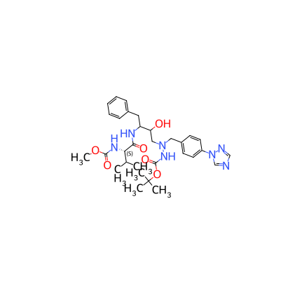 COC(=O)N[C@H](C(=O)NC(Cc1ccccc1)C(O)CN(Cc1ccc(-n2cncn2)cc1)NC(=O)OC(C)(C)C)C(C)C